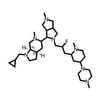 CN1CCN(C2CCN(C)C(CC(F)CN3CC4CN(C)CC4C3C3C[C@H]4CCN(CC5CC5)[C@H]4CN3C)C2)CC1